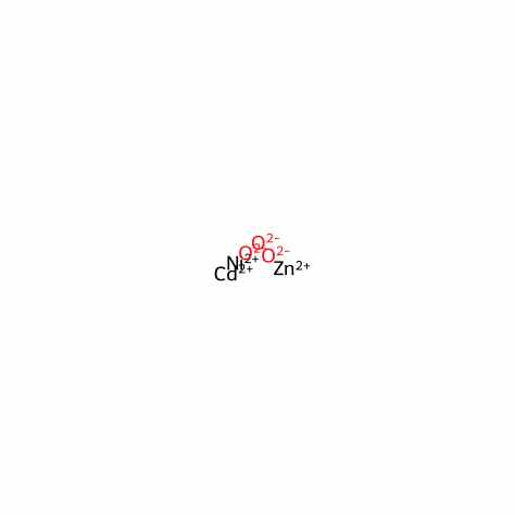 [Cd+2].[Ni+2].[O-2].[O-2].[O-2].[Zn+2]